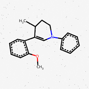 COc1ccccc1C1=CN(c2ccccc2)CCC1C